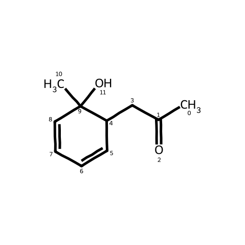 CC(=O)CC1C=CC=CC1(C)O